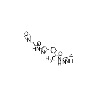 C[C@H](C(=O)Nc1cc(C2CC2)[nH]n1)c1cccc(-c2ccc(NC(=O)/C=C/CN3CCOCC3)nc2)c1